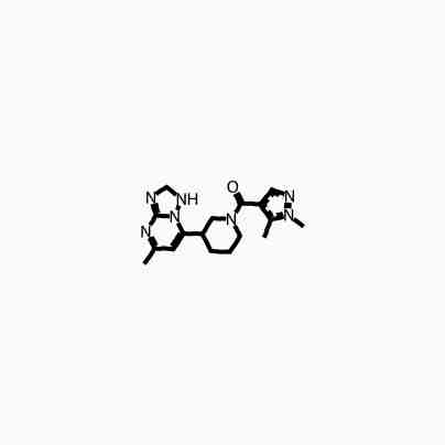 CC1=NC2=NCNN2C(C2CCCN(C(=O)c3cnn(C)c3C)C2)=C1